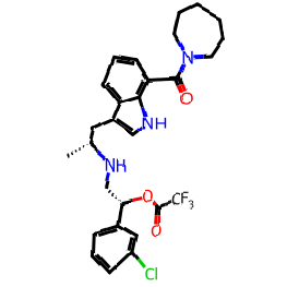 C[C@H](Cc1c[nH]c2c(C(=O)N3CCCCCC3)cccc12)NC[C@H](OC(=O)C(F)(F)F)c1cccc(Cl)c1